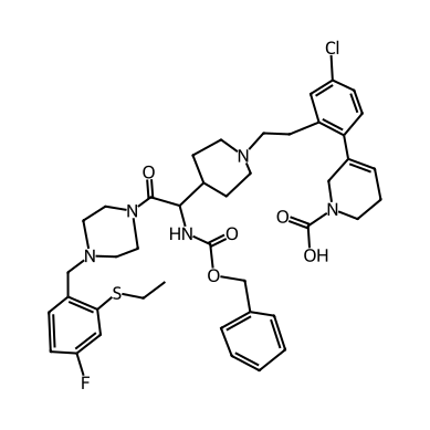 CCSc1cc(F)ccc1CN1CCN(C(=O)C(NC(=O)OCc2ccccc2)C2CCN(CCc3cc(Cl)ccc3C3=CCCN(C(=O)O)C3)CC2)CC1